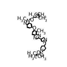 Cc1c(Oc2ccc3nc(C)n(COCC[Si](C)(C)C)c3c2)ccc2ncc(-c3cnn(CC4CCN(C(=O)OC(C)(C)C)CC4)c3)nc12